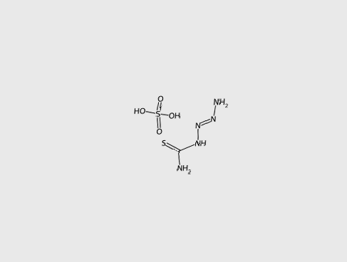 NN=NNC(N)=S.O=S(=O)(O)O